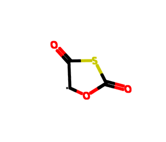 O=C1[CH]OC(=O)S1